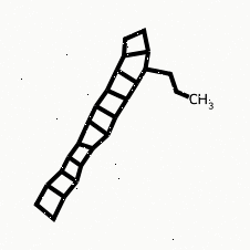 CCCC1C2CCC2C2C1C1C2C2C1C1C3C4C5C6CCC6C5C4C3C21